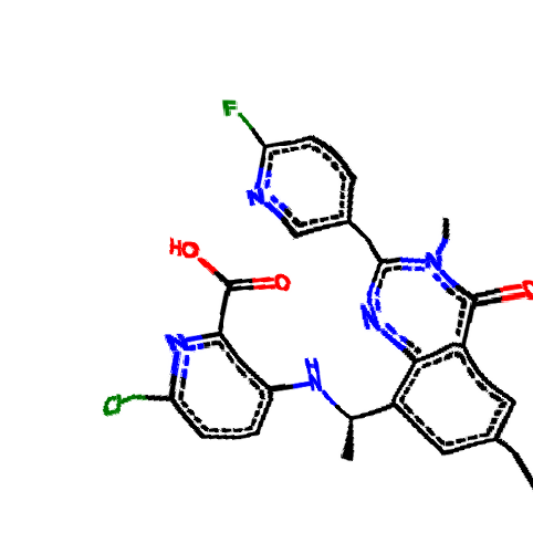 Cc1cc([C@@H](C)Nc2ccc(Cl)nc2C(=O)O)c2nc(-c3ccc(F)nc3)n(C)c(=O)c2c1